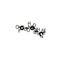 O=C(COc1ccc(Cl)c(F)c1)NC12CCC(NC(=O)COc3cncc(C(F)(F)F)c3)(CC1)C(=O)C2